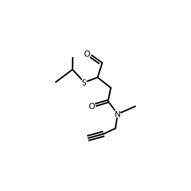 C#CCN(C)C(=O)CC(C=O)SC(C)C